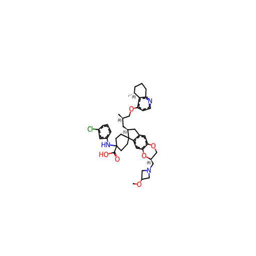 COC1CN(C[C@@H]2COc3cc4c(cc3O2)C2(CCC(Nc3cccc(Cl)c3)(C(=O)O)CC2)[C@@H](C[C@@H](C)COc2ccnc3c2[C@H](C)CCC3)C4)C1